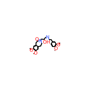 COc1ccc(CCN(C)CC(O)CN2CCc3cc(OC)c(OC)cc3CC2=O)cc1OC